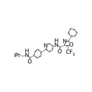 CC(C)CNC(=O)c1ccc(-c2ccc(NC(=O)c3nc(-c4ccccc4)oc3C(F)(F)F)cn2)cc1